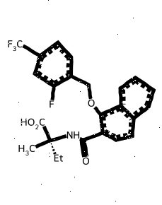 CC[C@@](C)(NC(=O)c1ccc2ccccc2c1OCc1ccc(C(F)(F)F)cc1F)C(=O)O